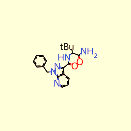 CC(C)(C)[C@H](NC(=O)c1nn(Cc2ccccc2)c2ncccc12)C(N)=O